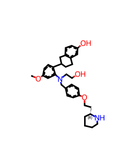 COc1ccc(C2CCc3cc(O)ccc3C2)c(N(CCO)Cc2ccc(OCC[C@H]3CCCCN3)cc2)c1